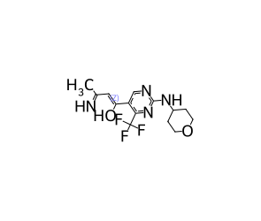 CC(=N)/C=C(\O)c1cnc(NC2CCOCC2)nc1C(F)(F)F